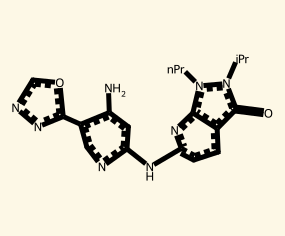 CCCn1c2nc(Nc3cc(N)c(-c4nnco4)cn3)ccc2c(=O)n1C(C)C